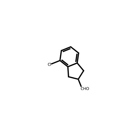 O=CC1Cc2cccc(Cl)c2C1